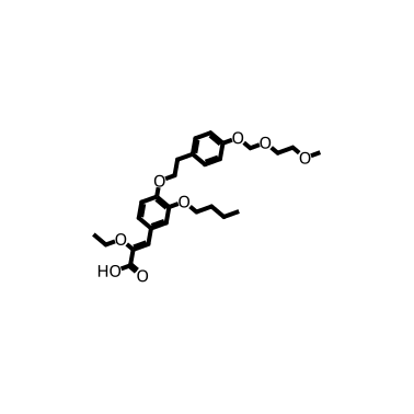 CCCCOc1cc(C=C(OCC)C(=O)O)ccc1OCCc1ccc(OCOCCOC)cc1